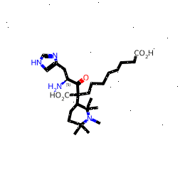 CN1C(C)(C)CCC(C(CCCCCCCC(=O)O)(C(=O)O)C(=O)[C@@H](N)Cc2c[nH]cn2)C1(C)C